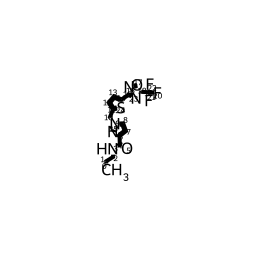 CCCNC(=O)c1ccn(Cc2ccc(-c3noc(C(F)(F)F)n3)s2)n1